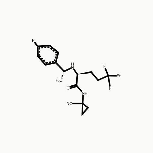 CCC(F)(F)CC[C@H](N[C@@H](c1ccc(F)cc1)C(F)(F)F)C(=O)NC1(C#N)CC1